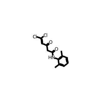 Cc1cccc(C)c1NC(=O)CC(=O)C=C(Cl)Cl